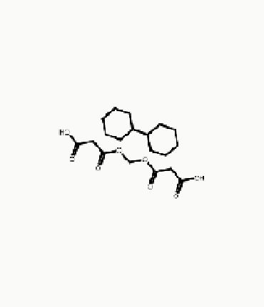 C1CCC(C2CCCCC2)CC1.O=C(O)CC(=O)OCOC(=O)CC(=O)O